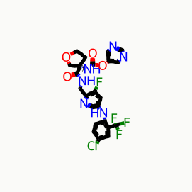 O=C(N[C@@]1(C(=O)NCc2ncc(Nc3ccc(Cl)cc3C(F)(F)F)cc2F)CCOC1)Oc1cncnc1